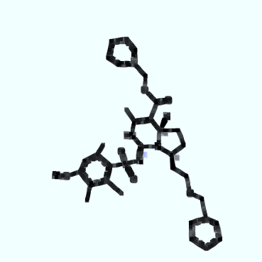 COc1cc(C)c(S(=O)(=O)/N=C2\NC(C)=C(C(=O)OCc3ccccc3)[C@@H]3CC[C@@H](CCOCc4ccccc4)N23)c(C)c1C